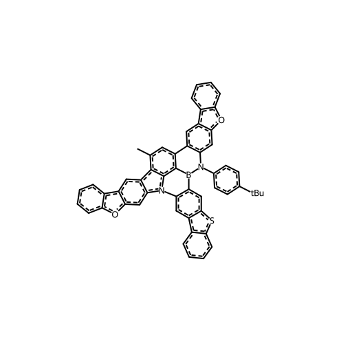 Cc1cc2c3c4c1c1cc5c(cc1n4-c1cc4c(cc1B3N(c1ccc(C(C)(C)C)cc1)c1cc3oc6ccccc6c3cc1-2)sc1ccccc14)oc1ccccc15